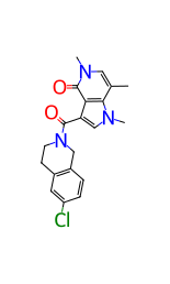 Cc1cn(C)c(=O)c2c(C(=O)N3CCc4cc(Cl)ccc4C3)cn(C)c12